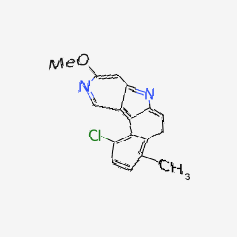 COc1cc2c(cn1)=C1C(=CCc3c(C)ccc(Cl)c31)N=2